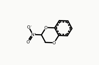 O=[N+]([O-])C1[CH]Oc2ccccc2O1